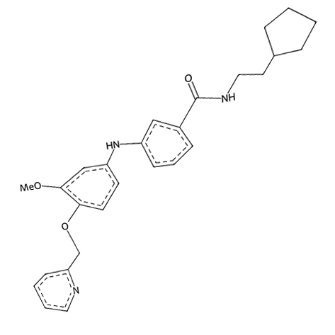 COc1cc(Nc2cccc(C(=O)NCCC3CCCC3)c2)ccc1OCc1ccccn1